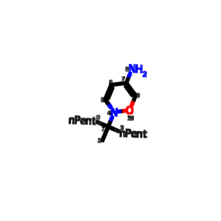 CCCCCC(C)(CCCCC)N1C=CC(N)=CO1